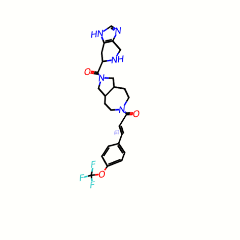 O=C(/C=C/c1ccc(OC(F)(F)F)cc1)N1CCC2CN(C(=O)C3Cc4[nH]cnc4CN3)CC2CC1